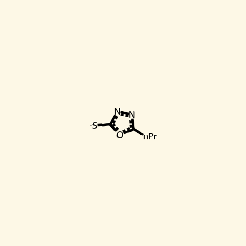 CCCc1nnc([S])o1